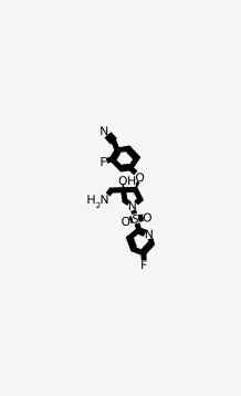 N#Cc1ccc(O[C@H]2CN(S(=O)(=O)c3ccc(F)cn3)C[C@@]2(O)CN)cc1F